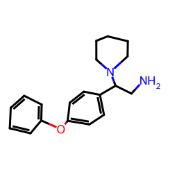 NCC(c1ccc(Oc2ccccc2)cc1)N1CCCCC1